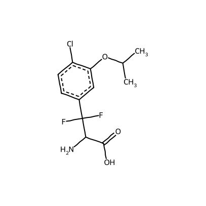 CC(C)Oc1cc(C(F)(F)C(N)C(=O)O)ccc1Cl